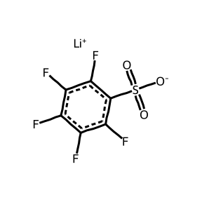 O=S(=O)([O-])c1c(F)c(F)c(F)c(F)c1F.[Li+]